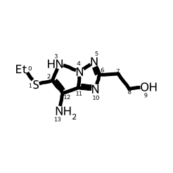 CCSc1[nH]n2nc(CCO)nc2c1N